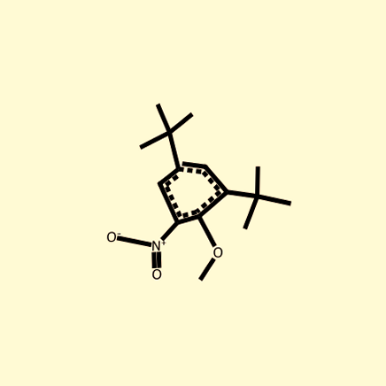 COc1c([N+](=O)[O-])cc(C(C)(C)C)cc1C(C)(C)C